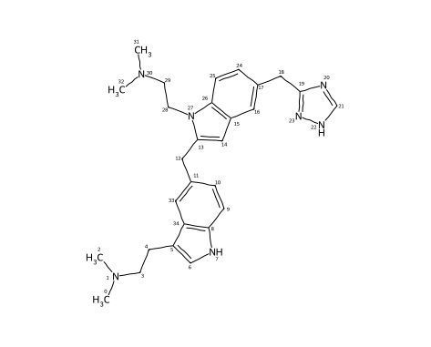 CN(C)CCc1c[nH]c2ccc(Cc3cc4cc(Cc5nc[nH]n5)ccc4n3CCN(C)C)cc12